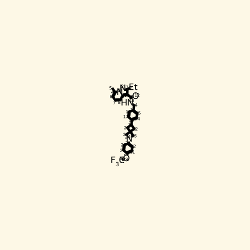 CCc1nn2c(C)cccc2c1C(=O)NCc1ccc(C2CC3(C2)CN(c2ccc(OC(F)(F)F)cc2)C3)cc1